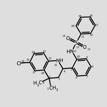 CC1(C)CC(c2ccccc2NS(=O)(=O)c2ccccc2)Nc2ccc(Cl)cc21